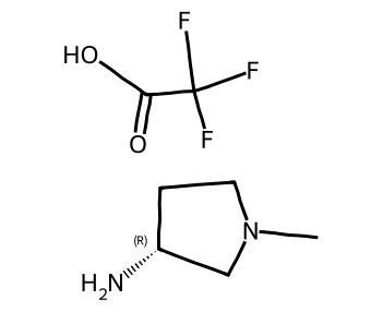 CN1CC[C@@H](N)C1.O=C(O)C(F)(F)F